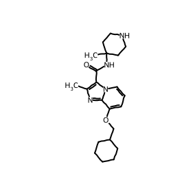 Cc1nc2c(OCC3CCCCC3)cccn2c1C(=O)NC1(C)CCNCC1